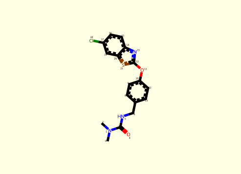 CN(C)C(=O)NCc1ccc(Oc2nc3ccc(Cl)cc3s2)cc1